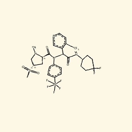 CS(=O)(=O)[C@H]1C[C@H](C(=O)N(c2ccc(S(F)(F)(F)(F)F)cc2)C(C(=O)NC2CCC(F)(F)CC2)c2cnccc2C(F)(F)F)N(C#N)C1